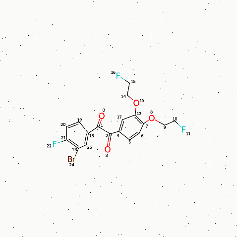 O=C(C(=O)c1ccc(OCCF)c(OCCF)c1)c1ccc(F)c(Br)c1